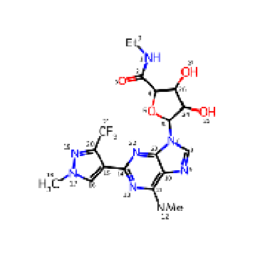 CCNC(=O)C1OC(n2cnc3c(NC)nc(-c4cn(C)nc4C(F)(F)F)nc32)C(O)C1O